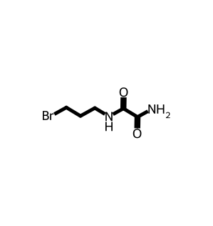 NC(=O)C(=O)NCCCBr